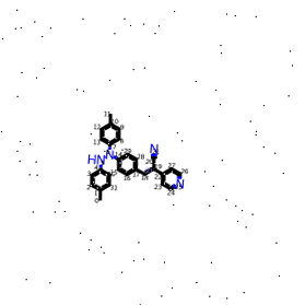 Cc1ccc(NN(c2ccc(C)cc2)c2ccc(/C=C(\C#N)c3ccncc3)cc2)cc1